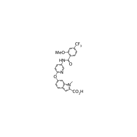 COc1cc(C(F)(F)F)ccc1C(=O)Nc1ccc(Oc2ccc3cc(C(=O)O)n(C)c3c2)nc1